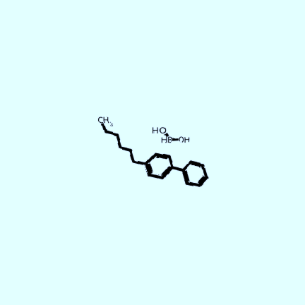 CCCCCCc1ccc(-c2ccccc2)cc1.OBO